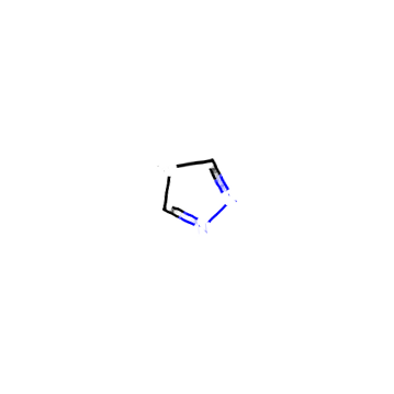 [c]1nn[c][se]1